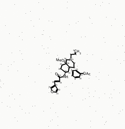 C=CCN1CC[C@@]2(c3cccc(OC(C)=O)c3)C[C@@H](NC(=O)/C=C/c3ccoc3)CC[C@]2(OC)C1